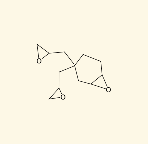 C1OC1CC1(CC2CO2)CCC2OC2C1